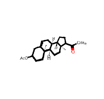 COC(=O)C1CC[C@H]2[C@@H]3CC=C4CC(OC(C)=O)CC[C@]4(C)[C@@H]3CC[C@]12C